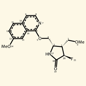 COC[C@H]1[C@@H](COc2nccc3ccc(OC)cc23)NC(=O)[C@@H]1F